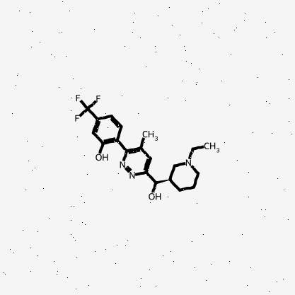 CCN1CCC[C@@H](C(O)c2cc(C)c(-c3ccc(C(F)(F)F)cc3O)nn2)C1